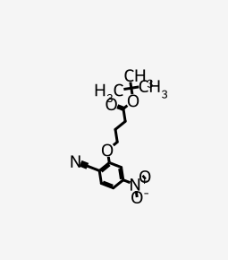 CC(C)(C)OC(=O)CCCOc1cc([N+](=O)[O-])ccc1C#N